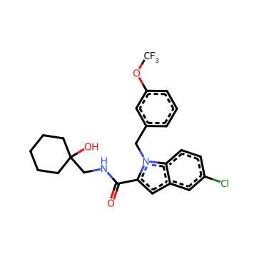 O=C(NCC1(O)CCCCC1)c1cc2cc(Cl)ccc2n1Cc1cccc(OC(F)(F)F)c1